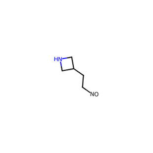 O=NCCC1CNC1